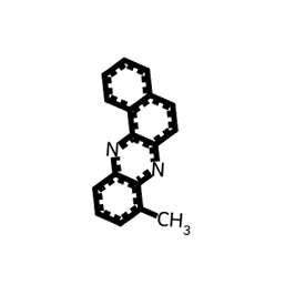 Cc1cccc2nc3c(ccc4ccccc43)nc12